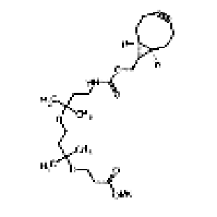 COC(=O)CCOC(C)(C)CCOC(C)(C)CCNC(=O)OC[C@@H]1[C@@H]2CCC#CCC[C@@H]21